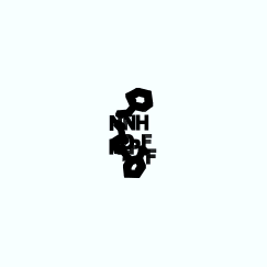 FC(F)(P)c1ccccc1-c1ccc(-c2ncc(-c3ccccc3)[nH]2)o1